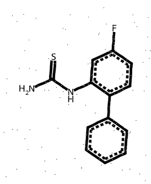 NC(=S)Nc1cc(F)ccc1-c1ccccc1